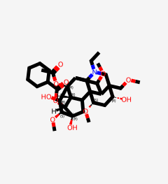 CCN1CC2(COC)C3C(OC)C4C1C3(C1C[C@@]3(O)[C@H](OC(=O)C5CCCCC5)[C@@H]1[C@]4(OC(C)=O)C(O)[C@@H]3OC)[C@@H](OC)C[C@H]2O